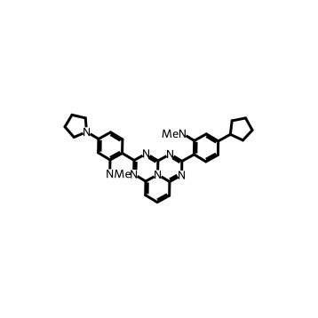 CNc1cc(N2CCCC2)ccc1C1=NC2=CC=CC3=NC(c4ccc(C5CCCC5)cc4NC)=NC(=N1)N23